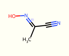 C/C(C#N)=N\O